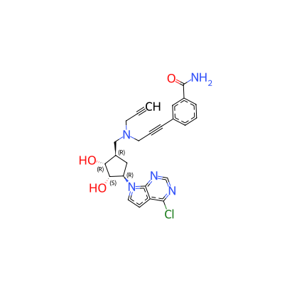 C#CCN(CC#Cc1cccc(C(N)=O)c1)C[C@H]1C[C@@H](n2ccc3c(Cl)ncnc32)[C@H](O)[C@@H]1O